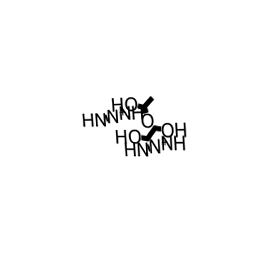 CC(=O)O.N=[N+]=N.N=[N+]=N.OCCO